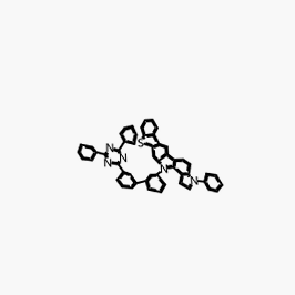 c1ccc(-c2nc(-c3ccccc3)nc(-c3cccc(-c4cccc(-n5c6cc7sc8ccccc8c7cc6c6ccc7c(ccn7-c7ccccc7)c65)c4)c3)n2)cc1